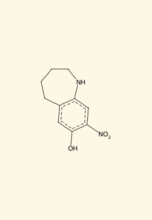 O=[N+]([O-])c1cc2c(cc1O)CCCCN2